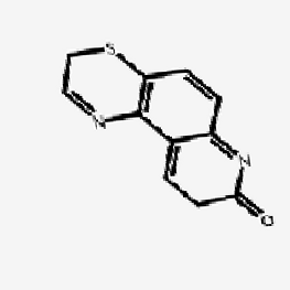 O=C1CC=c2c3c(ccc2=N1)SCC=N3